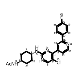 CC(=O)N[C@H]1CC[C@H](Nc2ncc(Cl)c(-c3ccnc(-c4ccc(F)cc4)c3)n2)CC1